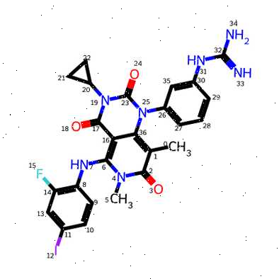 Cc1c(=O)n(C)c(Nc2ccc(I)cc2F)c2c(=O)n(C3CC3)c(=O)n(-c3cccc(NC(=N)N)c3)c12